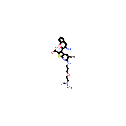 CN(C)CCOCCCNc1nc2sc(C(N)=O)c(-c3oc4cccc-4cc3N)c2cc1C#N